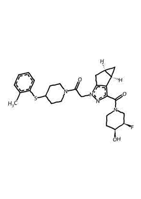 Cc1ccccc1SC1CCN(C(=O)Cn2nc(C(=O)N3CC[C@H](O)[C@H](F)C3)c3c2C[C@H]2C[C@@H]32)CC1